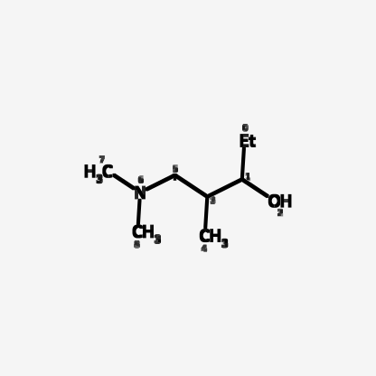 CCC(O)C(C)[CH]N(C)C